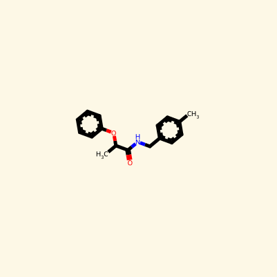 Cc1ccc(CNC(=O)C(C)Oc2ccccc2)cc1